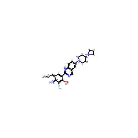 CN/C=C1/C=C(c2ncc3cc(N4CCC(N5CCC5)CC4)ccc3n2)C(O)=C(F)C1=N